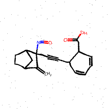 C=C1C2CCC(C2)C1(C#CC1C=CC=CC1C(=O)O)N=O